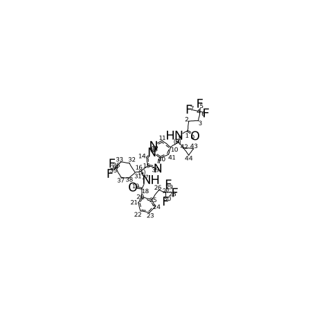 O=C(CCC(F)(F)F)N[C@@H](c1cnn2cc([C@@H](NC(=O)c3ccccc3CC(F)(F)F)C3CCC(F)(F)CC3)nc2c1)C1CC1